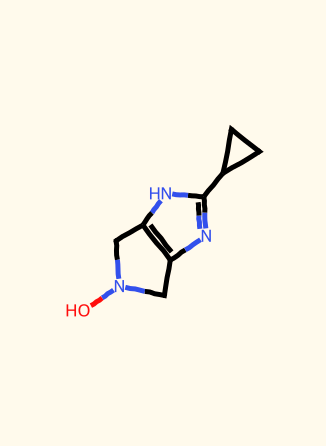 ON1Cc2nc(C3CC3)[nH]c2C1